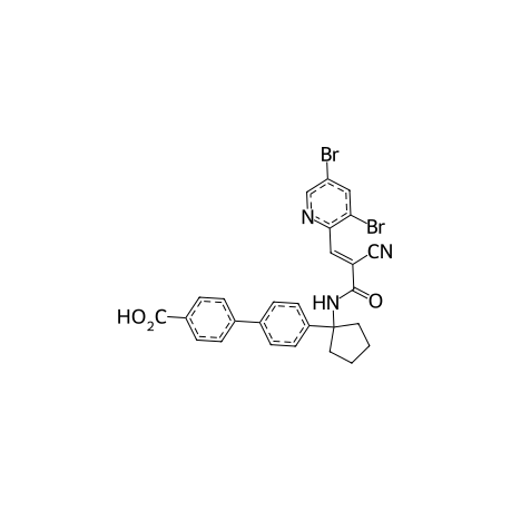 N#CC(=Cc1ncc(Br)cc1Br)C(=O)NC1(c2ccc(-c3ccc(C(=O)O)cc3)cc2)CCCC1